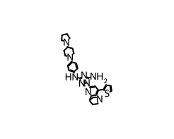 Nc1nc(Nc2ccc(N3CCC(N4CCCC4)CC3)cc2)nn1-c1cc(-c2cccs2)c2c(n1)C1CCN2CC1